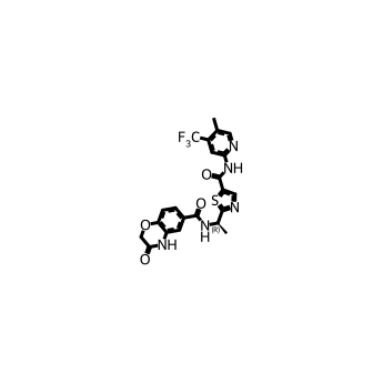 Cc1cnc(NC(=O)c2cnc([C@@H](C)NC(=O)c3ccc4c(c3)NC(=O)CO4)s2)cc1C(F)(F)F